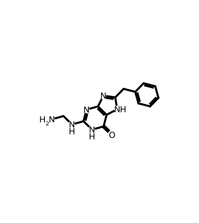 NCNc1nc2nc(Cc3ccccc3)[nH]c2c(=O)[nH]1